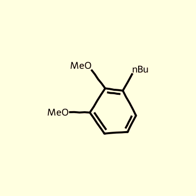 CCCCc1cccc(OC)c1OC